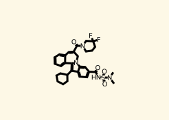 CN(C)S(=O)(=O)NC(=O)c1ccc2c(C3CCCCC3)c3n(c2c1)CC(C(=O)N1CCCC(F)(F)C1)=Cc1ccccc1-3